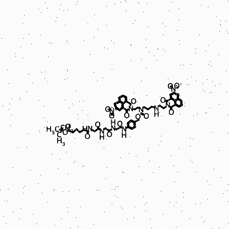 CC(C)(C)OC(=O)CCCCC(=O)NCC(=O)NCC(=O)NCC(=O)Nc1ccc(COC(=O)N(CCCNCCN2C(=O)c3cccc4cc([N+](=O)[O-])cc(c34)C2=O)CCN2C(=O)c3cccc4cc([N+](=O)[O-])cc(c34)C2=O)cc1